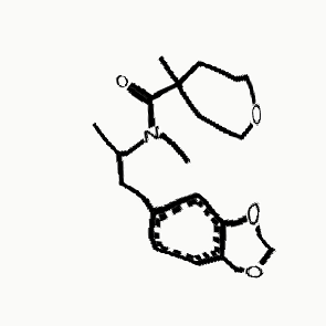 CC(Cc1ccc2c(c1)OCO2)N(C)C(=O)C1(C)CCOCC1